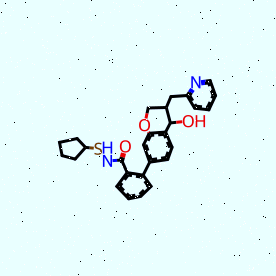 O=C(NSC1CCCC1)c1ccccc1-c1ccc2c(c1)OCC(Cc1ccccn1)C2O